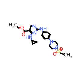 CCOC(=O)c1cnc(Nc2ccc(N3CCN(S(=O)(=O)CC)CC3)cc2)nc1NC1CC1